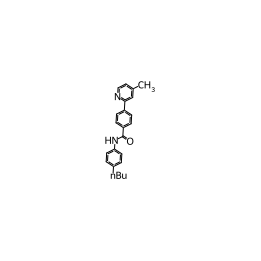 CCCCc1ccc(NC(=O)c2ccc(-c3cc(C)ccn3)cc2)cc1